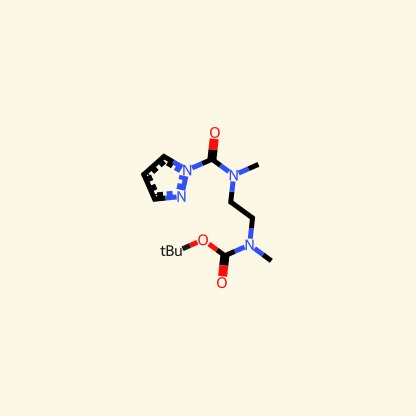 CN(CCN(C)C(=O)n1cccn1)C(=O)OC(C)(C)C